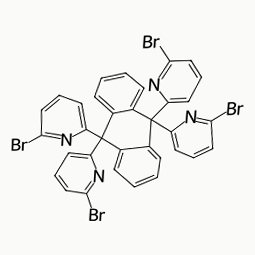 Brc1cccc(C2(c3cccc(Br)n3)c3ccccc3C(c3cccc(Br)n3)(c3cccc(Br)n3)c3ccccc32)n1